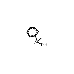 C[Si](C)([TeH])c1ccccc1